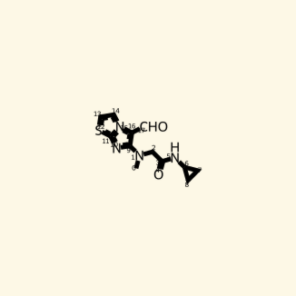 CN(CC(=O)NC1CC1)c1nc2sccn2c1C=O